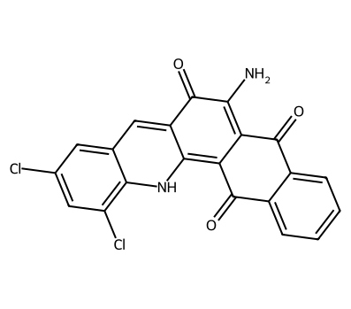 Nc1c2c(c3[nH]c4c(Cl)cc(Cl)cc4cc-3c1=O)C(=O)c1ccccc1C2=O